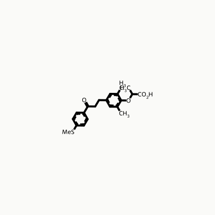 CSc1ccc(C(=O)CCc2cc(C)c(OC(C)C(=O)O)c(C)c2)cc1